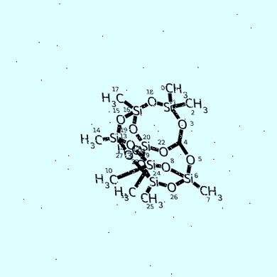 C[Si]1(C)OC2O[Si]3(C)O[Si](C)(C)O[Si]4(C)O[Si](C)(O1)O[Si](C)(O2)O[Si](C)(O3)O4